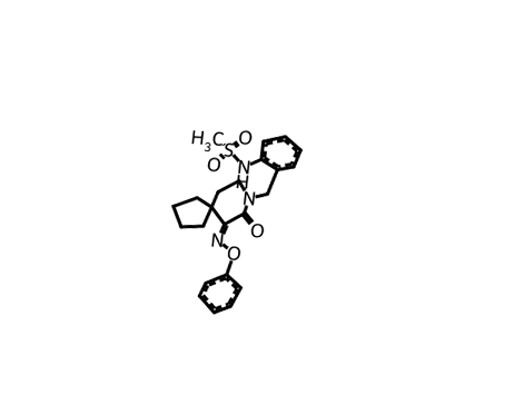 CS(=O)(=O)Nc1ccccc1CN1CCC2(CCCC2)C(=NOc2ccccc2)C1=O